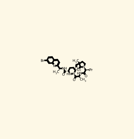 C=CC1(C)CCN([C@H](C(=O)N[C@@H](C)C(=O)N2CCC[C@@H](C(=O)N[C@H](C)c3ccc4ccc(Br)cc4n3)N2)C(C)C)C1=O